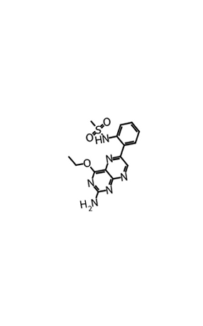 CCOc1nc(N)nc2ncc(-c3ccccc3NS(C)(=O)=O)nc12